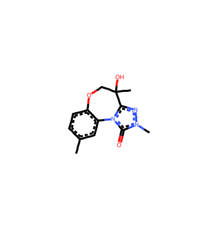 Cc1ccc2c(c1)-n1c(nn(C)c1=O)C(C)(O)CO2